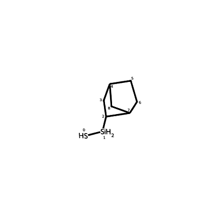 S[SiH2]C1CC2CCC1C2